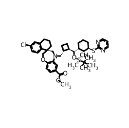 COC(=O)c1ccc2c(c1)N(C[C@@H]1CC[C@H]1C(O[Si](C)(C)C(C)(C)C)[C@@H]1CCC[C@@H](Sc3ncccn3)C1)C[C@@]1(CCCc3cc(Cl)ccc31)CO2